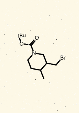 CC1CCN(C(=O)OC(C)(C)C)CC1CBr